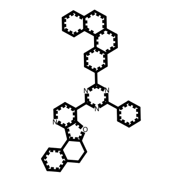 c1ccc(-c2nc(-c3ccc4c(ccc5ccc6ccccc6c54)c3)nc(-c3ccnc4c5c(oc34)CCc3ccccc3-5)n2)cc1